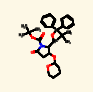 CC(C)(C)OC(=O)N1C(=O)CC(OC2CCCCO2)C1CO[Si](c1ccccc1)(c1ccccc1)C(C)(C)C